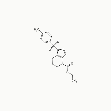 CCOC(=O)C1CCCc2c1ccn2S(=O)(=O)c1ccc(C)cc1